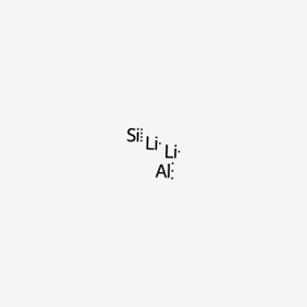 [Al].[Li].[Li].[Si]